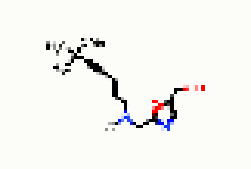 CCN(CC=CC#CC(C)(C)OC)Cc1ncc(CO)o1